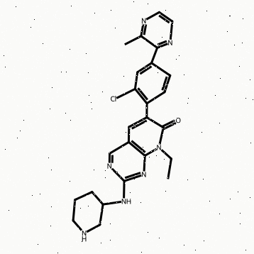 CCn1c(=O)c(-c2ccc(-c3nccnc3C)cc2Cl)cc2cnc(NC3CCCNC3)nc21